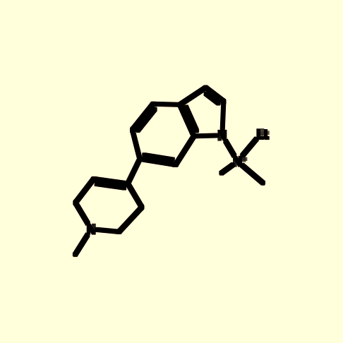 CC[N+](C)(C)n1ccc2ccc(C3=CCN(C)CC3)cc21